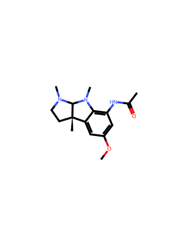 COc1cc(NC(C)=O)c2c(c1)[C@]1(C)CCN(C)C1N2C